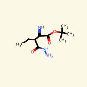 CC[C@@H](C(=N)C(=O)OC(C)(C)C)C(=O)NN